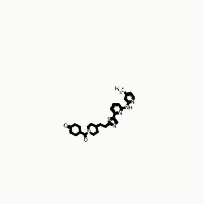 Cc1ccnc(Nc2cccc(-c3cnc(CCC4CCN(C(=O)C5CCC(=O)CC5)CC4)s3)n2)c1